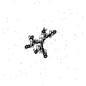 CN(C(=O)NCc1cccc(F)c1F)[C@H](COC(=O)Nc1cc2ccccc2cn1)C[C@H](O)COP(=O)(OC[C@@H](O)C[C@@H](COC(=O)Nc1cc2ccccc2cn1)N(C)C(=O)NCc1cccc(F)c1F)OC[C@@H](O)C[C@@H](COC(=O)Nc1cc2ccccc2cn1)N(C)C(=O)NCc1cccc(F)c1F